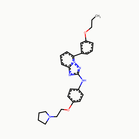 CCCOc1cccc(-c2cccc3nc(Nc4ccc(OCCN5CCCC5)cc4)nn23)c1